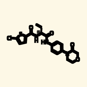 CC[C@@H](NC(=O)c1ccc(Cl)s1)C(=O)Nc1ccc(N2CCOCC2=O)cc1